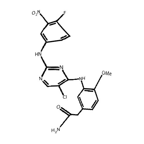 COc1ccc(CC(N)=O)cc1Nc1nc(Nc2ccc(F)c([N+](=O)[O-])c2)ncc1Cl